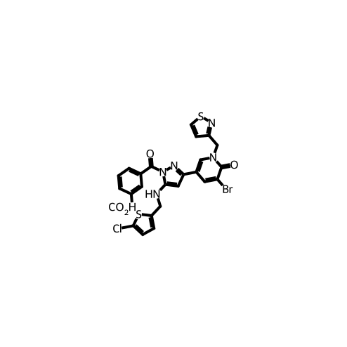 O=C(O)c1cccc(C(=O)n2nc(-c3cc(Br)c(=O)n(Cc4ccsn4)c3)cc2NCc2ccc(Cl)s2)c1